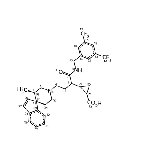 C[C@H]1CN(CCC(C(=O)NCc2cc(C(F)(F)F)cc(C(F)(F)F)c2)C2CC2C(=O)O)CC[C@@]12C=Cc1ccccc12